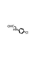 O=[C]CNc1ccc(Cl)cc1